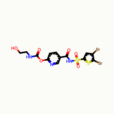 O=C(NCCO)Oc1ccc(C(=O)NS(=O)(=O)c2cc(Br)c(Br)s2)cn1